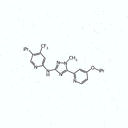 CC(C)Oc1ccnc(-c2nc(Nc3cc(C(F)(F)F)c(C(C)C)cn3)nn2C)c1